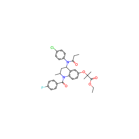 CCOC(=O)C(C)(C)Oc1ccc2c(c1)C(N(C(=O)CC)c1ccc(Cl)cc1)CC(C)N2C(=O)c1ccc(F)cc1